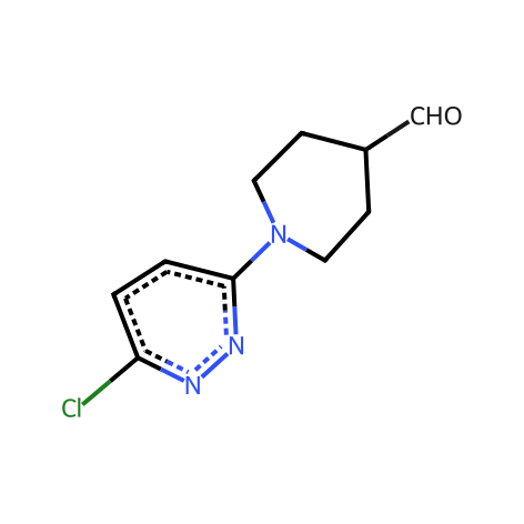 O=CC1CCN(c2ccc(Cl)nn2)CC1